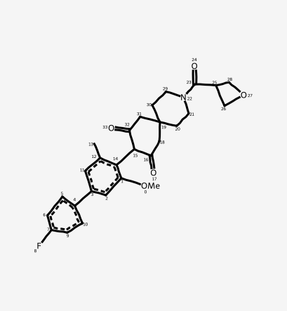 COc1cc(-c2ccc(F)cc2)cc(C)c1C1C(=O)CC2(CCN(C(=O)C3COC3)CC2)CC1=O